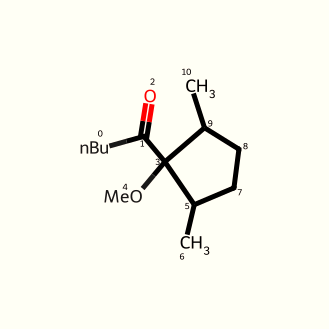 CCCCC(=O)C1(OC)C(C)CCC1C